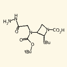 CC(C)(C)OC(=O)N(CC(=O)NN)C1CN(C(=O)O)C1C(C)(C)C